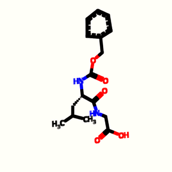 CC(C)C[C@H](NC(=O)OCc1ccccc1)C(=O)NCC(=O)O